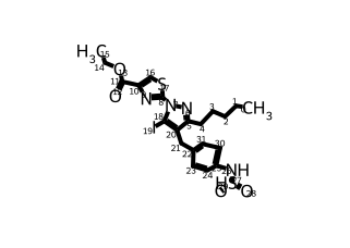 CCCCCc1nn(-c2nc(C(=O)OCC)cs2)c(I)c1Cc1ccc(N[SH](=O)=O)cc1